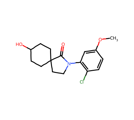 COc1ccc(Cl)c(N2CCC3(CCC(O)CC3)C2=O)c1